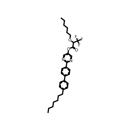 CCCCCCCc1ccc(-c2ccc(-c3ncc(OC(=O)C(OCCCCCC)C(F)(F)F)cn3)cc2)cc1